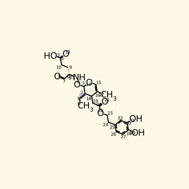 C/C=C1/C(ON[C@H](C=O)CCC(=O)O)OC=C(C)C1CC(=O)OCCc1ccc(O)c(O)c1